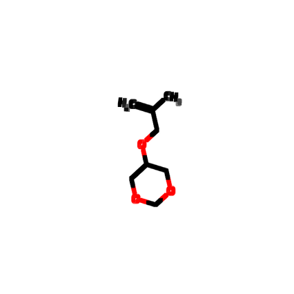 C=C(C)COC1COCOC1